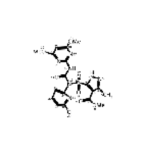 COC(=O)c1c(C)n[nH]c1S(=O)(=O)N(C(=O)Nc1nc(OC)cc(OC)n1)c1cccc(Cl)n1